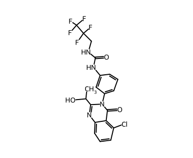 CC(O)c1nc2cccc(Cl)c2c(=O)n1-c1cccc(NC(=O)NCC(F)(F)C(F)(F)F)c1